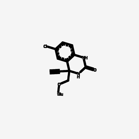 C#CC1(COC(C)(C)C)NC(=O)Nc2ccc(Cl)cc21